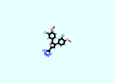 COc1ccc(-c2cc(-c3nnn[nH]3)sc2-c2ccc(OC)c(Cl)c2)cc1Cl